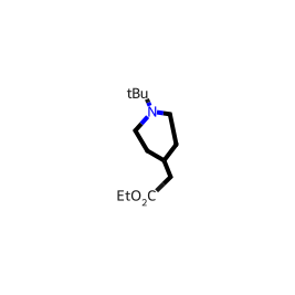 CCOC(=O)CC1CCN(C(C)(C)C)CC1